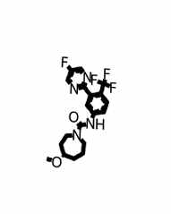 CO[C@@H]1CCCN(C(=O)Nc2ccc(C(F)(F)F)c(-c3ncc(F)cn3)c2)CC1